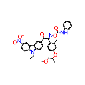 CCn1c2ccc(C(=O)/C(=N/OC(=O)Nc3ccccc3)c3ccc(OC(C)COC)cc3C)cc2c2cc([N+](=O)[O-])ccc21